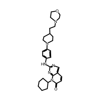 O=c1ccc2cnc(Nc3ccc(N4CCC(CCN5CCOCC5)CC4)cc3)nc2n1C1CCCCC1